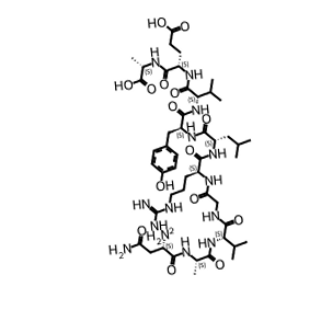 CC(C)C[C@H](NC(=O)[C@H](CCCNC(=N)N)NC(=O)CNC(=O)[C@@H](NC(=O)[C@H](C)NC(=O)[C@@H](N)CC(N)=O)C(C)C)C(=O)N[C@@H](Cc1ccc(O)cc1)C(=O)N[C@H](C(=O)N[C@@H](CCC(=O)O)C(=O)N[C@@H](C)C(=O)O)C(C)C